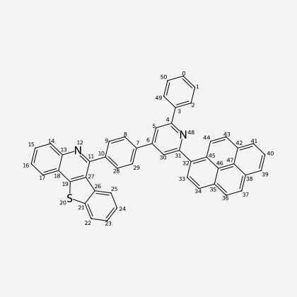 c1ccc(-c2cc(-c3ccc(-c4nc5ccccc5c5sc6ccccc6c45)cc3)cc(-c3ccc4ccc5cccc6ccc3c4c56)n2)cc1